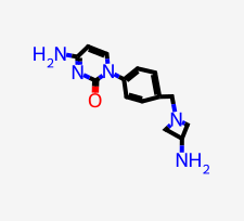 Nc1ccn(-c2ccc(CN3CC(N)C3)cc2)c(=O)n1